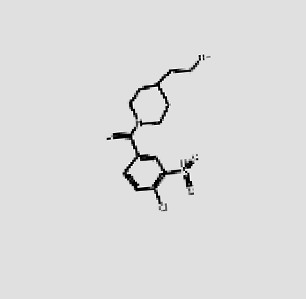 O=C(c1ccc(Cl)c([SH](=O)=O)c1)N1CCC(CCO)CC1